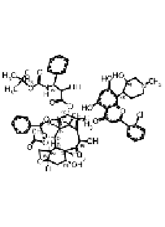 CC(=O)O[C@@]12CO[C@@H]1C[C@H](O)[C@@]1(C)C(=O)[C@H](O)C3=C(C)[C@@H](OC(=O)C(O)[C@@H](NC(=O)OC(C)(C)C)c4ccccc4)C[C@@](O)([C@@H](OC(=O)c4ccccc4)[C@H]21)C3(C)C.CN1CC[C@@H](c2c(O)cc(O)c3c(=O)cc(-c4ccccc4Cl)oc23)[C@@H](O)C1